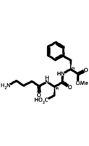 COC(=O)[C@H](Cc1ccccc1)NC(=O)[C@@H](CC(=O)O)NC(=O)CCCN